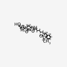 CCOC(=O)N(CCCCCC(=O)Nc1ccn(C2CSC(CO)O2)c(=O)n1)Cc1ccccc1